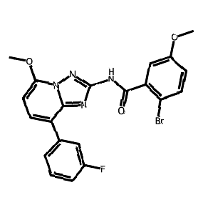 COc1ccc(Br)c(C(=O)Nc2nc3c(-c4cccc(F)c4)ccc(OC)n3n2)c1